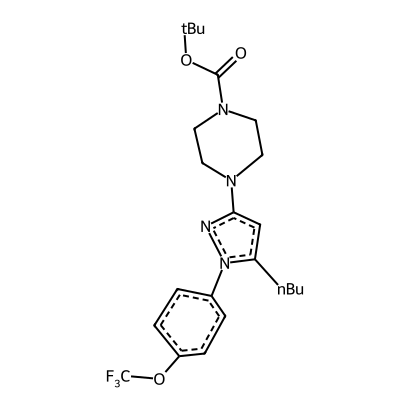 CCCCc1cc(N2CCN(C(=O)OC(C)(C)C)CC2)nn1-c1ccc(OC(F)(F)F)cc1